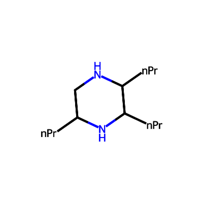 CCCC1CNC(CCC)C(CCC)N1